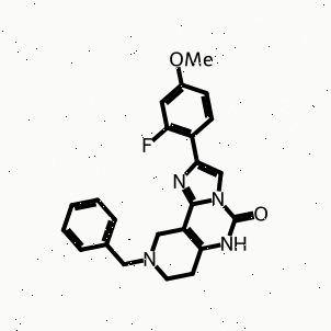 COc1ccc(-c2cn3c(=O)[nH]c4c(c3n2)CN(Cc2ccccc2)CC4)c(F)c1